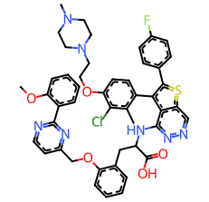 COc1ccccc1-c1nccc(COc2ccccc2CC(Nc2nncc3sc(-c4ccc(F)cc4)c(-c4ccc(OCCN5CCN(C)CC5)c(Cl)c4C)c23)C(=O)O)n1